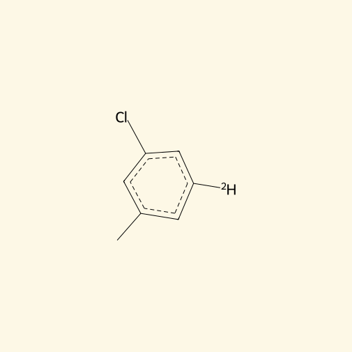 [2H]c1cc(C)cc(Cl)c1